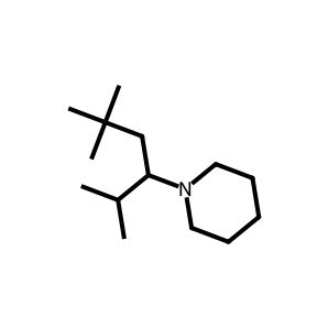 CC(C)C(CC(C)(C)C)N1CCCCC1